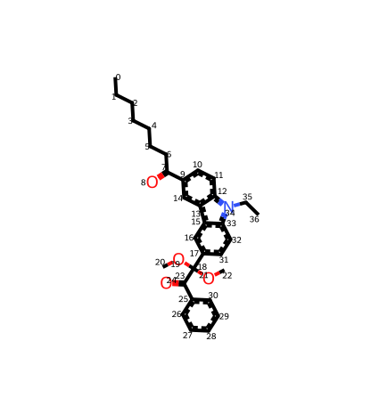 CCCCCCCC(=O)c1ccc2c(c1)c1cc(C(OC)(OC)C(=O)c3ccccc3)ccc1n2CC